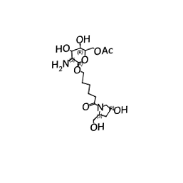 CC(=O)OCC1O[C@@H](OCCCCCC(=O)N2C[C@H](O)C[C@H]2CO)[C@@H](N)C(O)[C@H]1O